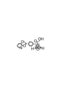 O=C(CO)N1C[C@@H]2CC[C@@H](C1)N(Cc1ccc([C@H]3COc4cccnc4O3)cc1)C2